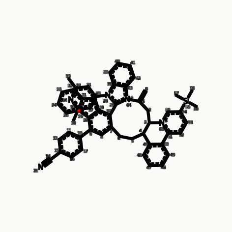 C=C1CC2C(CCc3cc(-c4ccc(C#N)cc4)c4c(sc5ccccc54)c3-c3n(-c4cc(C)nc(C)c4)c4ccccc4[n+]31)c1ccccc1-c1ccc([Si](C)(C)C)c[n+]12